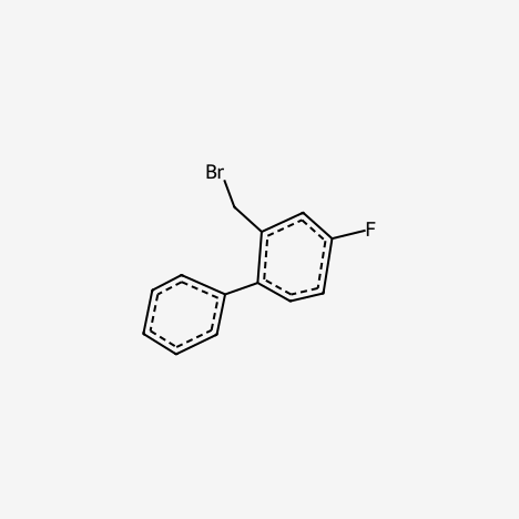 Fc1ccc(-c2ccccc2)c(CBr)c1